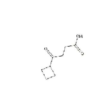 O=C(O)CCC(=O)C1CCC1